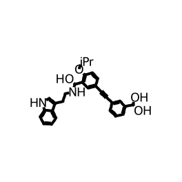 CC(C)Oc1ccc(C#Cc2cccc(C(O)O)c2)cc1C(O)NCCc1c[nH]c2ccccc12